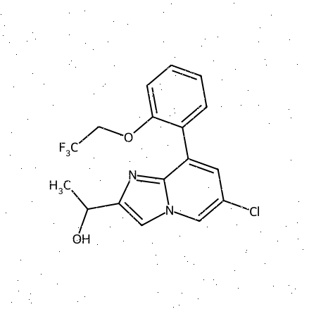 CC(O)c1cn2cc(Cl)cc(-c3ccccc3OCC(F)(F)F)c2n1